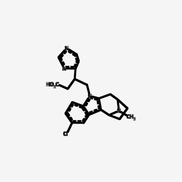 CN1C2CCC1c1c(n(CC(CC(=O)O)c3ccncn3)c3ccc(Cl)cc13)C2